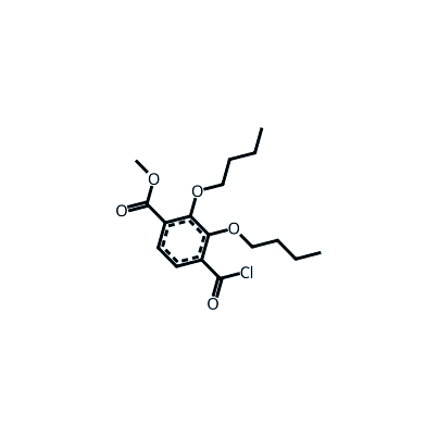 CCCCOc1c(C(=O)Cl)ccc(C(=O)OC)c1OCCCC